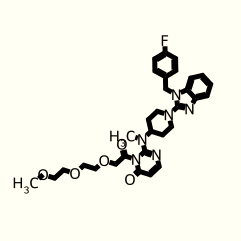 COCCOCCOCC(=O)n1c(N(C)C2CCN(c3nc4ccccc4n3Cc3ccc(F)cc3)CC2)nccc1=O